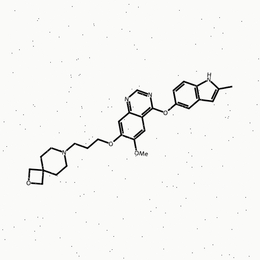 COc1cc2c(Oc3ccc4[nH]c(C)cc4c3)ncnc2cc1OCCCN1CCC2(CC1)COC2